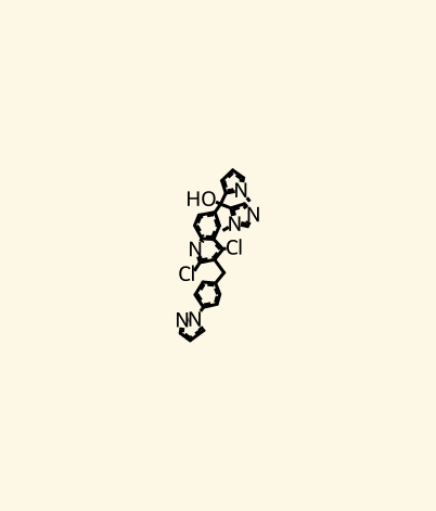 Cn1cccc1C(O)(c1ccc2nc(Cl)c(Cc3ccc(-n4cccn4)cc3)c(Cl)c2c1)c1cncn1C